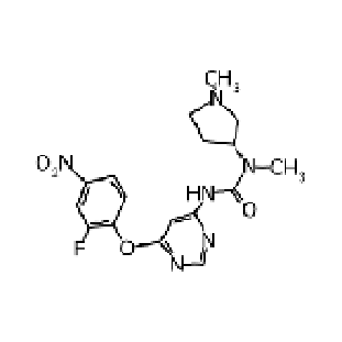 CN1CC[C@H](N(C)C(=O)Nc2cc(Oc3ccc([N+](=O)[O-])cc3F)ncn2)C1